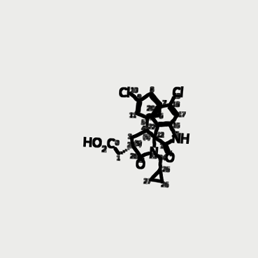 O=C(O)C[C@@H]1C[C@@H](c2cccc(Cl)c2)C2(C(=O)Nc3cc(Cl)ccc32)N(CC2CC2)C1=O